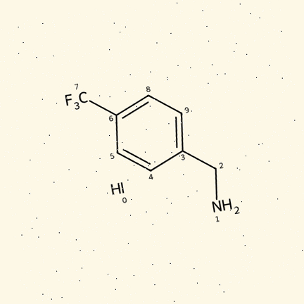 I.NCc1ccc(C(F)(F)F)cc1